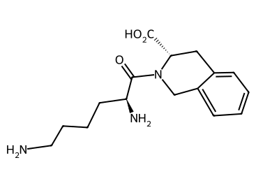 NCCCC[C@H](N)C(=O)N1Cc2ccccc2C[C@H]1C(=O)O